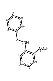 O=C(O)c1ccncc1NCc1ccncc1